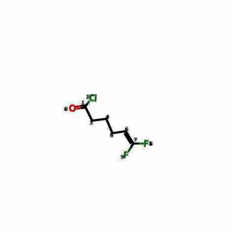 O=C(Cl)CCCC=C(F)F